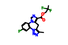 Cc1nnn2c1Cc1c(C(=O)OCC(C)(F)F)ncn1-c1ccc(F)cc1-2